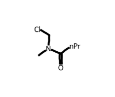 CCCC(=O)N(C)CCl